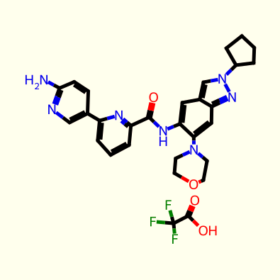 Nc1ccc(-c2cccc(C(=O)Nc3cc4cn(C5CCCC5)nc4cc3N3CCOCC3)n2)cn1.O=C(O)C(F)(F)F